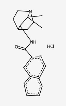 CC1(C)C(NC(=O)c2cc3ccccc3cn2)C2CCN1CC2.Cl